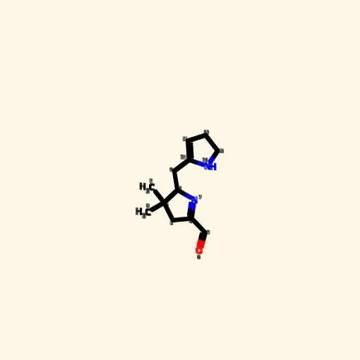 CC1(C)CC(C=O)=NC1CC1=CCCN1